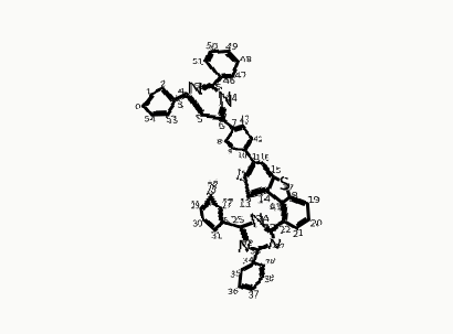 c1ccc(-c2cc(-c3ccc(-c4ccc5c(c4)sc4cccc(-c6nc(-c7ccccc7)nc(-c7ccccc7)n6)c45)cc3)nc(-c3ccccc3)n2)cc1